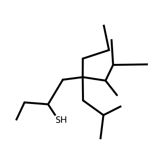 CCCC(CC(C)C)(CC(S)CC)C(C)C(C)C